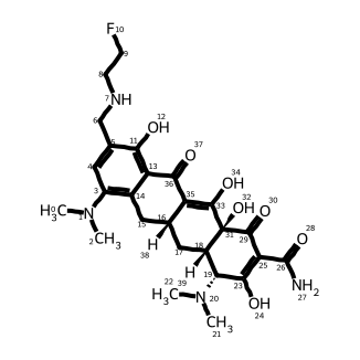 CN(C)c1cc(CNCCF)c(O)c2c1C[C@H]1C[C@H]3[C@@H](N(C)C)C(O)=C(C(N)=O)C(=O)[C@@]3(O)C(O)=C1C2=O